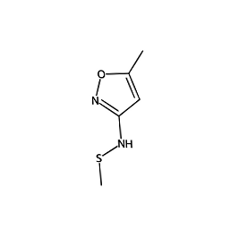 CSNc1cc(C)on1